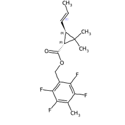 C/C=C/[C@@H]1[C@@H](C(=O)OCc2c(F)c(F)c(C)c(F)c2F)C1(C)C